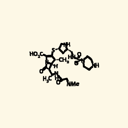 CNCC(=O)N[C@H](C)[C@H]1C(=O)N2C(C(=O)O)=C(S[C@@H]3CN[C@H](CNS(=O)(=O)N4CCNCC4)C3)[C@H](C)[C@@H]12